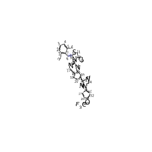 Cc1cccc(C)c1/C=C1\SCC(=O)N1c1ncc2ccc(-c3ncn(-c4ccc(OC(F)(F)F)cc4)n3)cc2n1